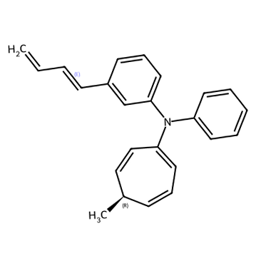 C=C/C=C/c1cccc(N(C2=CC=C[C@@H](C)C=C2)c2ccccc2)c1